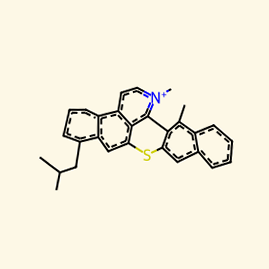 Cc1c2c(cc3ccccc13)Sc1cc3c(CC(C)C)cccc3c3cc[n+](C)c-2c13